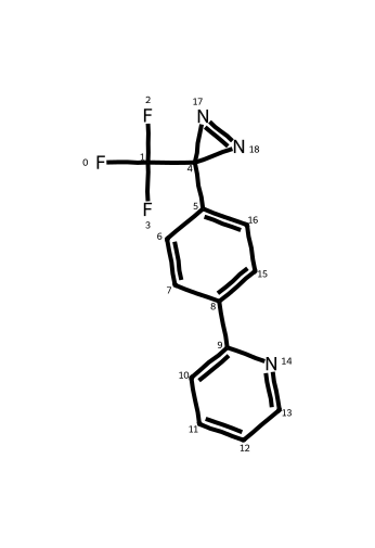 FC(F)(F)C1(c2ccc(-c3ccccn3)cc2)N=N1